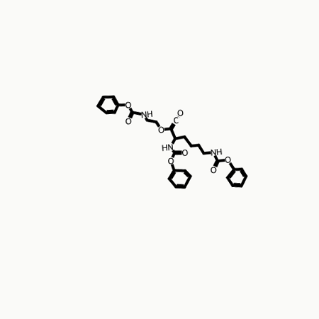 O=C=C(OCCNC(=O)Oc1ccccc1)C(CCCCNC(=O)Oc1ccccc1)NC(=O)Oc1ccccc1